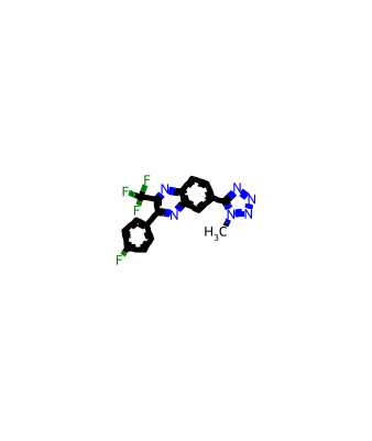 Cn1nnnc1-c1ccc2nc(C(F)(F)F)c(-c3ccc(F)cc3)nc2c1